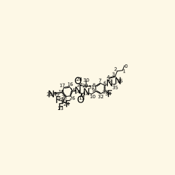 CCCc1cn(-c2ccc(CN3C(=O)N(c4ccc(C#N)c(C(F)(F)F)c4)C(=O)C3(C)C)cc2F)cn1